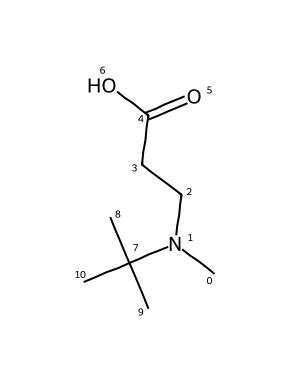 CN(CCC(=O)O)C(C)(C)C